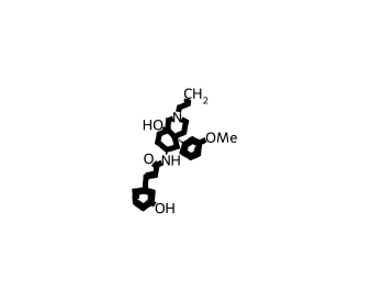 C=CCN1CC[C@@]2(c3cccc(OC)c3)C[C@H](NC(=O)C=Cc3cccc(O)c3)CC[C@]2(O)C1